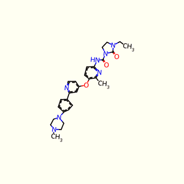 CCN1CCN(C(=O)Nc2ccc(Oc3ccnc(-c4ccc(N5CCN(C)CC5)cc4)c3)c(C)n2)C1=O